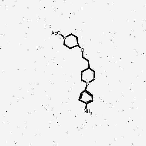 CC(=O)ON1CCC(OCCC2CCN(c3ccc(N)cc3)CC2)CC1